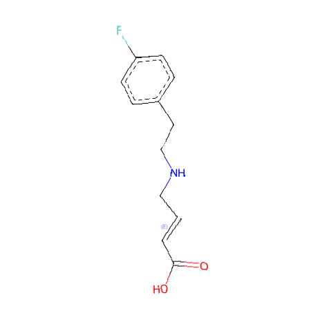 O=C(O)/C=C/CNCCc1ccc(F)cc1